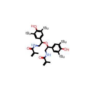 C=C(C)C(=O)NCC(OC(CNC(=O)C(=C)C)c1cc(C(C)(C)C)c(O)c(C(C)(C)C)c1)c1cc(C(C)(C)C)c(O)c(C(C)(C)C)c1